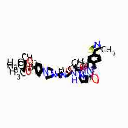 Cc1ncsc1-c1ccc(CNC(=O)[C@@H]2CCCN2C(=O)[C@@H](NC(=O)CN2CC(N3CCN(c4ccc(B5OC(C)(C)C(C)(C)O5)cc4)CC3)C2)C(C)(C)C)cc1